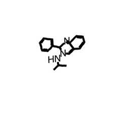 CC(C)NN1C=c2ccccc2=NC1c1ccccc1